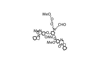 CNc1cc(OCc2cc(COc3cc4c(cc3OC)C(=O)N3c5ccccc5CC3C=N4)cc(N(CCCC=O)CCOCCOCCOC)c2)c(OC)cc1C(=O)N1CCc2ccccc21